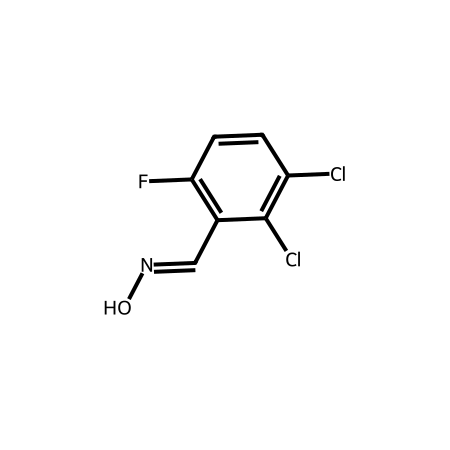 ON=Cc1c(F)ccc(Cl)c1Cl